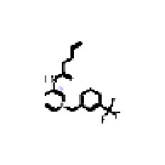 C=CCCC(=C)N/C(C)=C/N(C=C)CC1=CCCC(C(F)(F)F)=C1